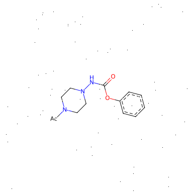 CC(=O)N1CCN(NC(=O)Oc2ccccc2)CC1